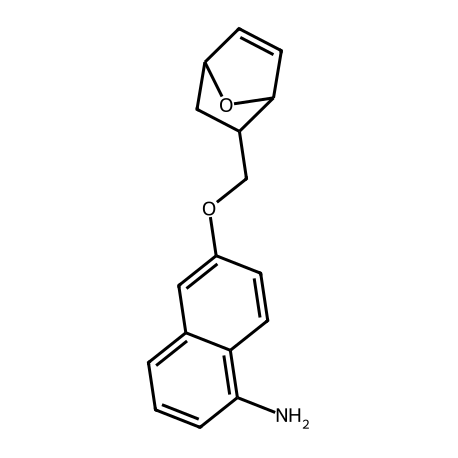 Nc1cccc2cc(OCC3CC4C=CC3O4)ccc12